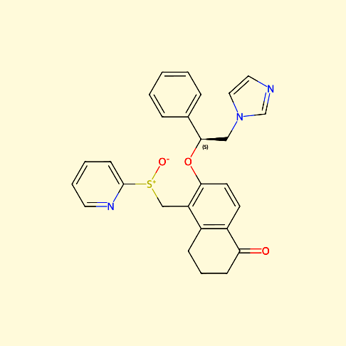 O=C1CCCc2c1ccc(O[C@H](Cn1ccnc1)c1ccccc1)c2C[S+]([O-])c1ccccn1